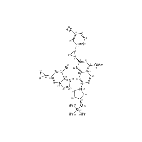 COc1cc([C@H]2C[C@@H]2c2nccc(C)n2)nc2cc(N3C[C@@H](O[Si](C(C)C)(C(C)C)C(C)C)C[C@@H]3c3cn4cc(C5CC5)cc(Br)c4n3)ccc12